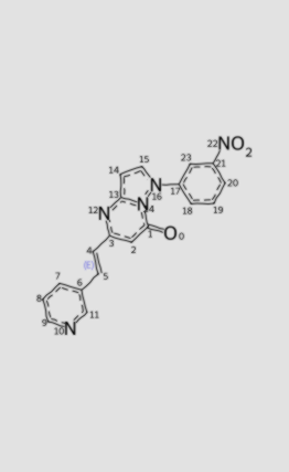 O=c1cc(/C=C/c2cccnc2)nc2ccn(-c3cccc([N+](=O)[O-])c3)n12